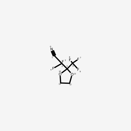 N#CC(F)(F)C1(C(F)(F)F)OCCO1